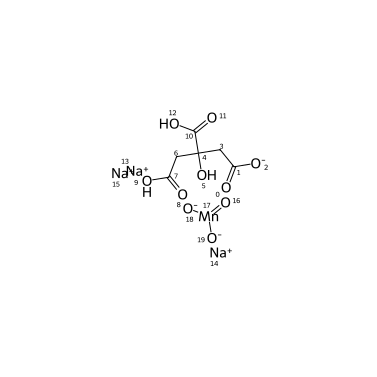 O=C([O-])CC(O)(CC(=O)O)C(=O)O.[Na+].[Na+].[Na+].[O]=[Mn]([O-])[O-]